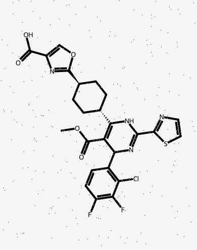 COC(=O)C1=C([C@H]2CC[C@H](c3nc(C(=O)O)co3)CC2)NC(c2nccs2)=NC1c1ccc(F)c(F)c1Cl